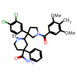 CCN1CCC(C(N)=O)(c2ccccc2)CC1C1(c2ccc(Cl)c(Cl)c2)CCN(C(=O)c2cc(OC)c(C)c(OC)c2)C1